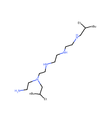 CCCCC(CC)CNCCNCCNCCN(CCN)CC(CC)CCCC